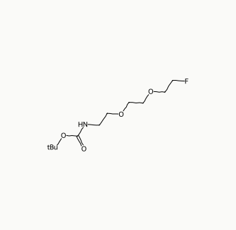 CC(C)(C)OC(=O)NCCOCCOCCF